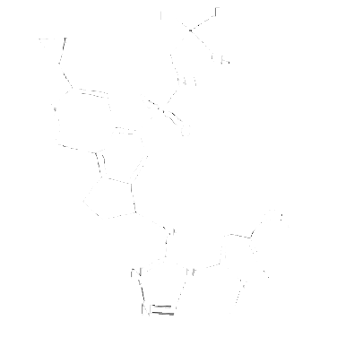 Cc1cc(-n2cnnc2NC2CCc3c2cc(S(=O)(=O)NCC(C)(C)F)c2cc(C4CC4)nnc32)n(C)n1